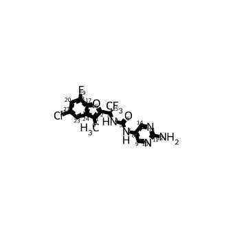 Cc1c([C@H](NC(=O)Nc2cnc(N)nc2)C(F)(F)F)oc2c(F)cc(Cl)cc12